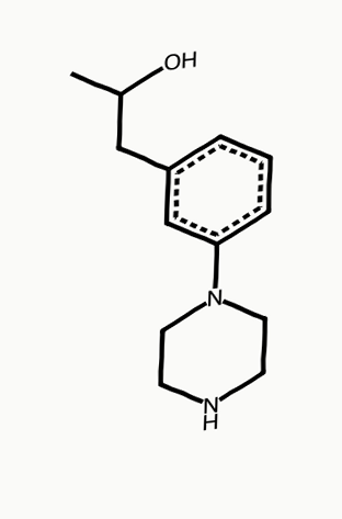 CC(O)Cc1cccc(N2CCNCC2)c1